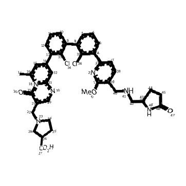 COc1nc(-c2cccc(-c3cccc(-c4cc(C)n5c(=O)c(CN6CCC(C(=O)O)C6)cnc5c4)c3Cl)c2Cl)ccc1CNCC1CCC(=O)N1